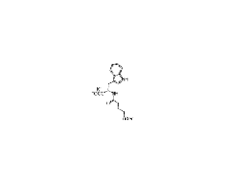 CCCCCCCCCCCCCC(=O)N[C@H](Cc1c[nH]c2ccccc12)C(=O)[O-].[K+]